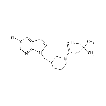 CC(C)(C)OC(=O)N1CCCC(Cn2ccc3cc(Cl)nnc32)C1